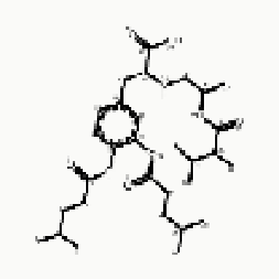 CC(C)CCC(=O)Oc1ccc(C[C@H](NCC(C)OC(=O)C(C)C(C)C)C(=O)O)cc1OC(=O)CCC(C)C